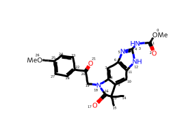 COC(=O)Nc1nc2cc3c(cc2[nH]1)C(C)(C)C(=O)N3CC(=O)c1ccc(OC)cc1